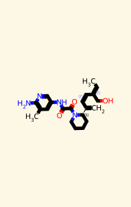 C=C(/C=C\C(=C/C)CO)[C@@H]1CCCCN1C(=O)C(=O)Nc1cnc(N)c(C)c1